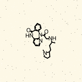 CC(CCC1CCCN1C)NCC(=O)N1c2ccccc2C(=O)Nc2cccnc21